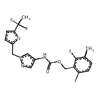 Cc1ccc(F)c(COC(=O)Nc2cnn(Cc3ccc(C(C)(F)F)o3)c2)c1F